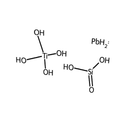 O=[Si](O)O.[OH][Ti]([OH])([OH])[OH].[PbH2]